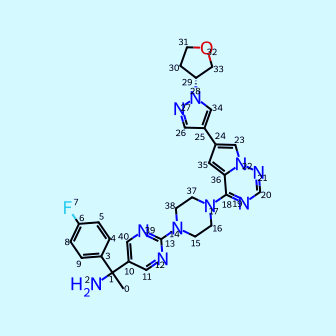 CC(N)(c1ccc(F)cc1)c1cnc(N2CCN(c3ncnn4cc(-c5cnn([C@@H]6CCOC6)c5)cc34)CC2)nc1